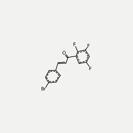 O=C(C=Cc1ccc(Br)cc1)c1cc(F)cc(F)c1F